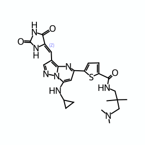 CN(C)CC(C)(C)CNC(=O)c1ccc(-c2cc(NC3CC3)n3ncc(/C=C4\NC(=O)NC4=O)c3n2)s1